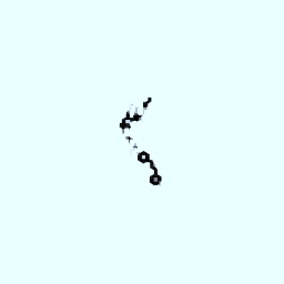 CCCCOC(=O)C(C)(C)CC(CC(C)(CC)C(=O)OCCNC(=O)Nc1ccc(C(=O)C=Cc2ccc(OC)c(OC)c2)cc1)C(=O)NCO